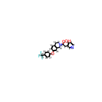 O=C(Cc1cnccc1O)N1CCc2ccc(Oc3ccc(C(F)(F)F)cc3)cc2C1